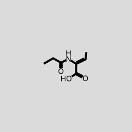 CC=C(NC(=O)CC)C(=O)O